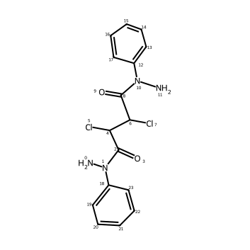 NN(C(=O)C(Cl)C(Cl)C(=O)N(N)c1ccccc1)c1ccccc1